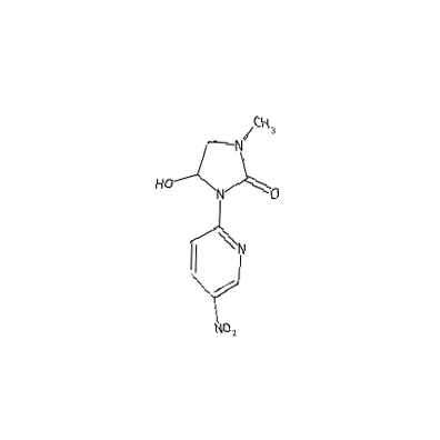 CN1CC(O)N(c2ccc([N+](=O)[O-])cn2)C1=O